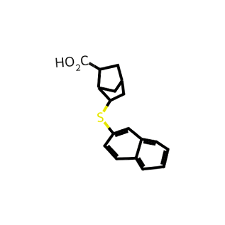 O=C(O)C1CC2CC(Sc3ccc4ccccc4c3)C1C2